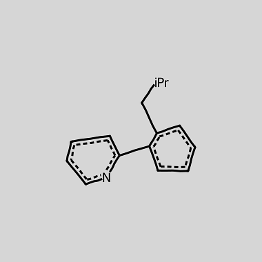 CC(C)Cc1ccccc1-c1ccccn1